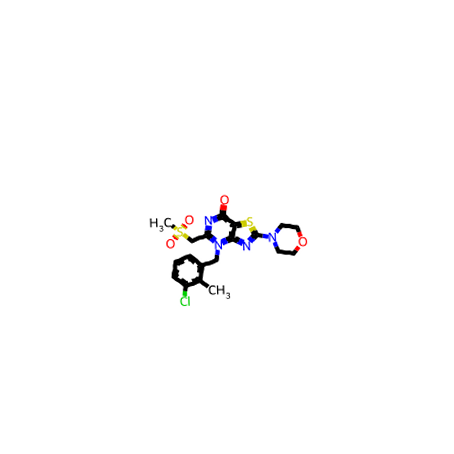 Cc1c(Cl)cccc1Cn1c(CS(C)(=O)=O)nc(=O)c2sc(N3CCOCC3)nc21